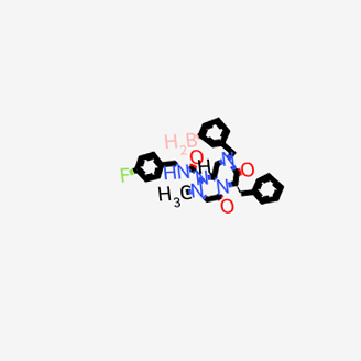 Bc1cccc(CN2C[C@H]3N(C(=O)CN(C)N3C(=O)NCc3ccc(F)cc3)[C@@H](Cc3ccccc3)C2=O)c1